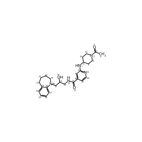 CC(=O)N1CCC(Nc2cc(C(=O)NCC(O)CN3CCCCc4ccccc43)ccn2)CC1